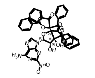 Nc1nc([N+](=O)[O-])nc2c1ncn2[C@@H]1O[C@](C(=O)c2ccccc2)(C(OC(=O)c2ccccc2)(C(=O)c2ccccc2)C(=O)c2ccccc2)[C@](O)(C(=O)c2ccccc2)[C@H]1O